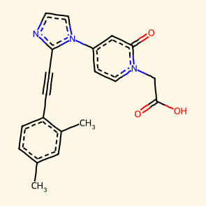 Cc1ccc(C#Cc2nccn2-c2ccn(CC(=O)O)c(=O)c2)c(C)c1